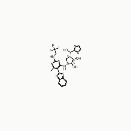 Cc1nc(NCC(F)(F)F)nc(N[C@@H]2C[C@H](C(O)c3nccs3)[C@@H](O)[C@H]2O)c1-c1nc2ccccc2s1